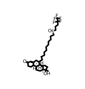 CC1(O)CC[C@H]2[C@@H]3C(CCCCCCCCCCC[S+]([O-])CCCC(F)(F)C(F)(F)F)CC4=CC(=O)CC[C@]4(C)[C@@H]3CC[C@@]21C